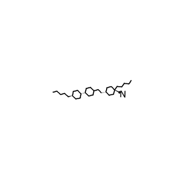 CCCCC[C@H]1CC[C@H](C2CCC(CC[C@H]3CC[C@@](C#N)(CCCCC)CC3)CC2)CC1